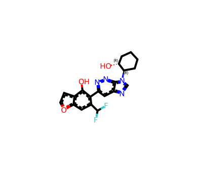 Oc1c(-c2cc3ncn([C@@H]4CCCC[C@H]4O)c3nn2)c(C(F)F)cc2occc12